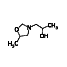 CC(O)CN1COC(C)C1